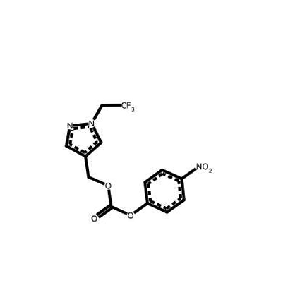 O=C(OCc1cnn(CC(F)(F)F)c1)Oc1ccc([N+](=O)[O-])cc1